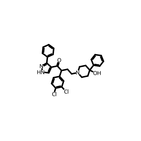 O=C(c1c[nH]nc1-c1ccccc1)C(CCN1CCC(O)(c2ccccc2)CC1)c1ccc(Cl)c(Cl)c1